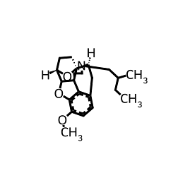 CCC(C)CN1CC[C@@]23c4c5ccc(OC)c4OC2[C@@H]2CC[C@]3(O2)[C@@H]1C5